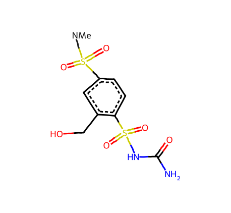 CNS(=O)(=O)c1ccc(S(=O)(=O)NC(N)=O)c(CO)c1